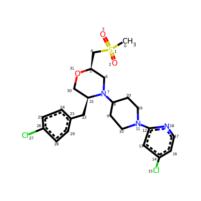 CS(=O)(=O)C[C@H]1CN(C2CCN(c3cc(Cl)ccn3)CC2)[C@@H](Cc2ccc(Cl)cc2)CO1